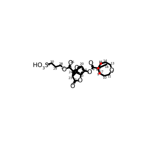 O=C1Oc2c(OC(=O)C34CC5COCC(CC(C5)C3)C4)c3oc2c1c3C(=O)OCCCS(=O)(=O)O